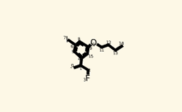 [CH2]C(CF)c1cc(I)cc(OCCCC)c1